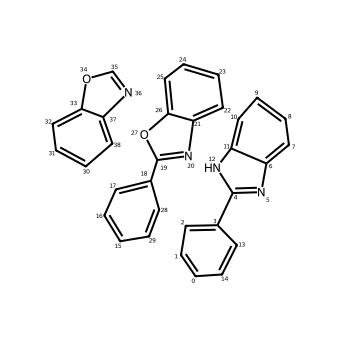 c1ccc(-c2nc3ccccc3[nH]2)cc1.c1ccc(-c2nc3ccccc3o2)cc1.c1ccc2ocnc2c1